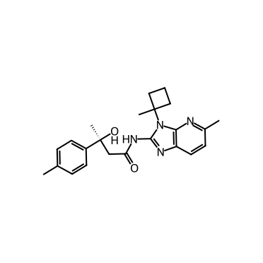 Cc1ccc([C@@](C)(O)CC(=O)Nc2nc3ccc(C)nc3n2C2(C)CCC2)cc1